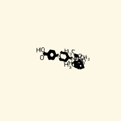 CC(=O)N(C1CCN(c2ccc(C(=O)O)cc2)CC1)[C@H]1CC2C[C@@H]([C@@H]1C)C2(C)C